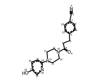 N#Cc1ccc(CCC(=O)N2CCN(c3ccc(O)cn3)CC2)cc1